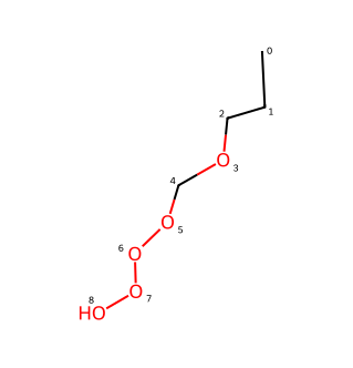 CCCOCOOOO